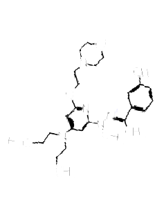 CCCN(CCC)c1cc(OCCN2CCOCC2)nc(N(C)/N=C(\C)c2cccc(C)c2)c1